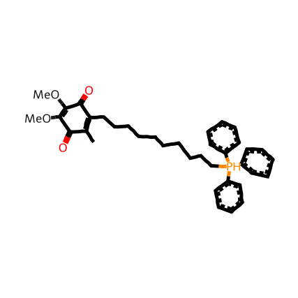 COC1=C(OC)C(=O)C(CCCCCCCCCC[PH](c2ccccc2)(c2ccccc2)c2ccccc2)=C(C)C1=O